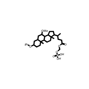 COC1CC2CC(OC(C)C)CCC2(C)C2CCC3(C)C(C(C)CCC(=O)OCOP(=O)(O)O)CCC3C12